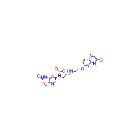 Cn1c(=O)cnc2ccc(OCCNC[C@@H]3CN(c4cnc5c(n4)NC(=O)CO5)C(=O)O3)nc21